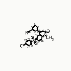 Cn1c(=O)cc(-c2cccc(C#N)c2)c2cc(S(=O)(=O)c3ccc(Cl)cc3)ccc21